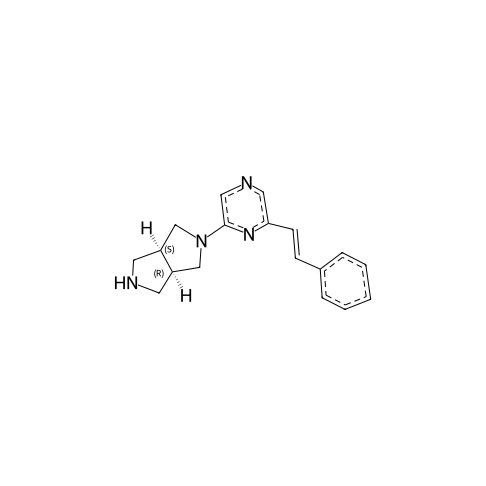 C(=Cc1cncc(N2C[C@H]3CNC[C@H]3C2)n1)c1ccccc1